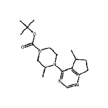 CC1CCc2ncnc(N3CCN(C(=O)OC(C)(C)C)CC3C)c21